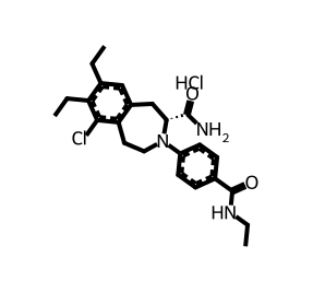 CCNC(=O)c1ccc(N2CCc3c(cc(CC)c(CC)c3Cl)C[C@@H]2C(N)=O)cc1.Cl